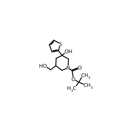 CC(C)(C)OC(=O)N1CC(CO)CC(O)(c2cccs2)C1